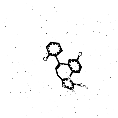 Cc1nnc2n1-c1ccc(Cl)cc1C(c1ccccc1Cl)=CC2